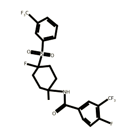 CC1(NC(=O)c2ccc(F)c(C(F)(F)F)c2)CCC(F)(S(=O)(=O)c2cccc(C(F)(F)F)c2)CC1